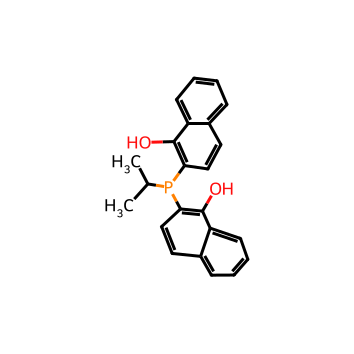 CC(C)P(c1ccc2ccccc2c1O)c1ccc2ccccc2c1O